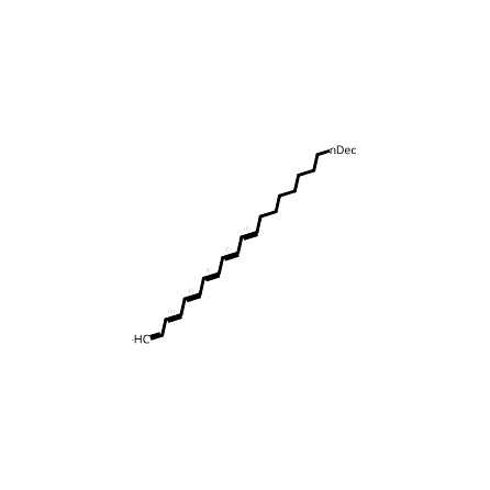 [CH]=C/C=C/C=C/C=C/C=C/C=C/CCCCCCCCCCCCCCCCC